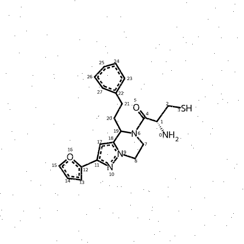 N[C@@H](CS)C(=O)N1CCn2nc(-c3ccco3)cc2C1CCc1ccccc1